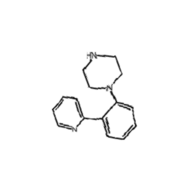 c1ccc(-c2ccccc2N2CCNCC2)nc1